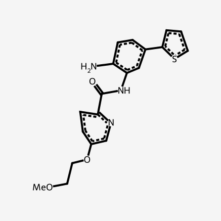 COCCOc1ccc(C(=O)Nc2cc(-c3cccs3)ccc2N)nc1